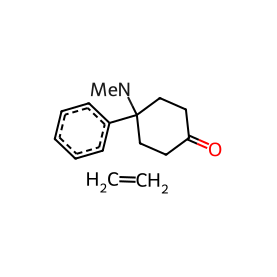 C=C.CNC1(c2ccccc2)CCC(=O)CC1